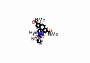 CNC(=O)c1ccc2c(c1)CCc1cc(C(=O)NC)ccc1C2(C[C@@H](C)NCC(=O)N1CCC[C@H]1C#N)c1nnc(C(C)C)[nH]1